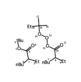 CCCCC(CC)C(=O)OC(C)(C)C.CCCCC(CC)C(=O)OOOC(C)(C)CC